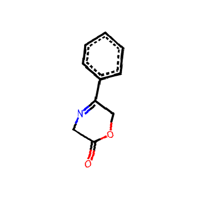 O=C1CN=C(c2ccccc2)CO1